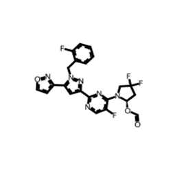 O=CO[C@@H]1CC(F)(F)CN1c1nc(-c2cc(-c3ccon3)n(Cc3ccccc3F)n2)ncc1F